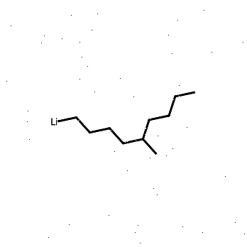 [Li][CH2]CCCC(C)CCCC